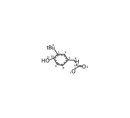 CC(C)(C)c1cc(C[SH](=O)=O)ccc1O